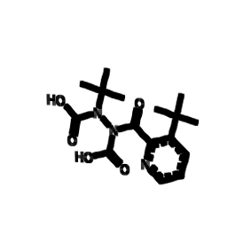 CC(C)(C)c1cccnc1C(=O)N(C(=O)O)N(C(=O)O)C(C)(C)C